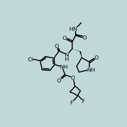 CNC(=O)C(=O)[C@H](C[C@@H]1CCNC1=O)NC(=O)c1cc(Cl)ccc1NC(=O)OC1CC(F)(F)C1